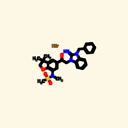 Br.CN(c1cc(C(=O)Cn2c(=N)n(Cc3ccccc3)c3ccccc32)cc2c1OCC2(C)C)S(C)(=O)=O